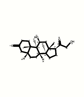 C[C@]12CCC(=O)C[C@H]1CC[C@@H]1[C@@H]2[C@@H](O)C[C@]2(C)[C@@H](C(=O)CO)CC[C@@H]12